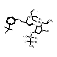 C=CC[C@@H]1[C@@H](C=CC(COc2cccc(C(F)(F)F)c2)O[Si](CC)(CC)CC)[C@H](O[Si](C)(C)C(C)(C)C)C[C@@H]1O